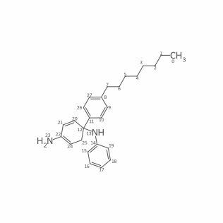 CCCCCCCCc1ccc(C2(Nc3ccccc3)C=CC(N)=CC2)cc1